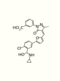 CC1=NN(c2cccc(C(=O)O)c2)C(=O)/C1=C\c1ccc(-c2ccc(Cl)c(C(O)NC3CC3)c2)o1